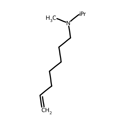 C=CCCCCCN(C)C(C)C